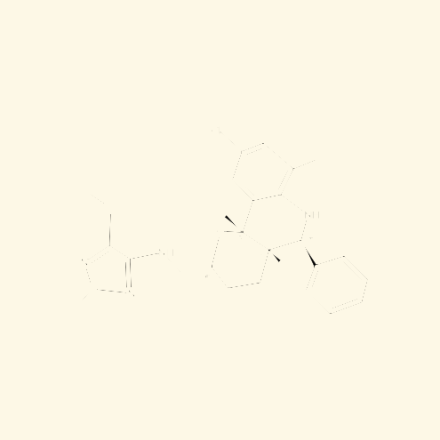 CCOc1n[s+]([O-])nc1NC[C@H]1CC[C@@H]2[C@H](O1)c1cc(Cl)cc(F)c1N[C@H]2c1ccccc1